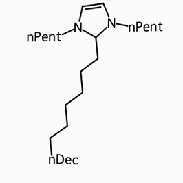 CCCCCCCCCCCCCCCCC1N(CCCCC)C=CN1CCCCC